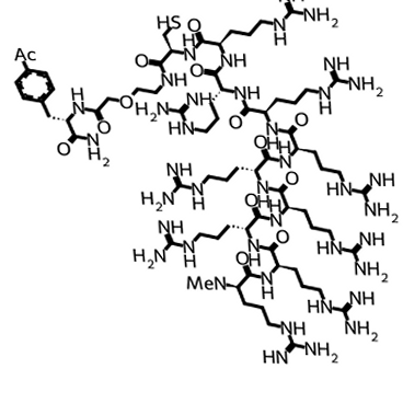 CN[C@H](CCCNC(=N)N)C(=O)N[C@H](CCCNC(=N)N)C(=O)N[C@H](CCCNC(=N)N)C(=O)N[C@H](CCCNC(=N)N)C(=O)N[C@H](CCCNC(=N)N)C(=O)N[C@H](CCCNC(=N)N)C(=O)N[C@H](CCCNC(=N)N)C(=O)N[C@H](CCCNC(=N)N)C(=O)N[C@H](CCCNC(=N)N)C(=O)N[C@H](CS)C(=O)NCCOCC(=O)N[C@@H](Cc1ccc(C(C)=O)cc1)C(N)=O